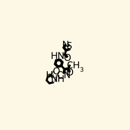 Cc1noc(C)c1-c1cc(NC(=O)c2cnsc2)ccc1OC[C@H]1CCCCN1